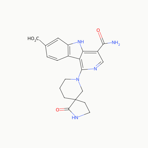 NC(=O)c1cnc(N2CCCC3(CCNC3=O)C2)c2c1[nH]c1cc(C(=O)O)ccc12